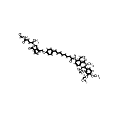 CCOc1cc(C(CS(C)(=O)=O)N(C)C(=O)c2cccc(NC(=O)CCCCCCCc3ccc(OCc4scc5c4CN(C(C)CCC(=O)NC=O)C5=O)cc3)c2C=O)ccc1OC